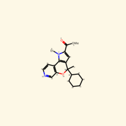 CCn1c(C(=O)OC)cc2c1-c1ccncc1OC2(C)C1CCCCC1